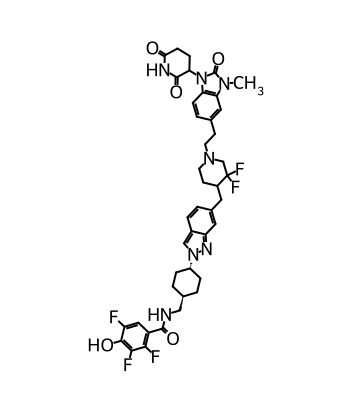 Cn1c(=O)n(C2CCC(=O)NC2=O)c2ccc(CCN3CCC(Cc4ccc5cn([C@H]6CC[C@H](CNC(=O)c7cc(F)c(O)c(F)c7F)CC6)nc5c4)C(F)(F)C3)cc21